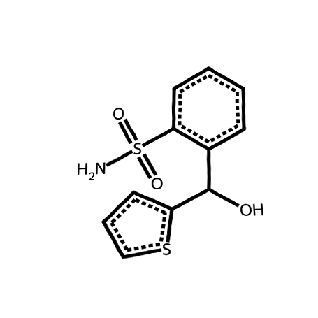 NS(=O)(=O)c1ccccc1C(O)c1cccs1